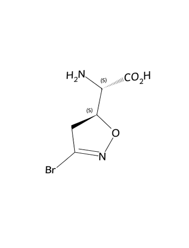 N[C@H](C(=O)O)[C@@H]1CC(Br)=NO1